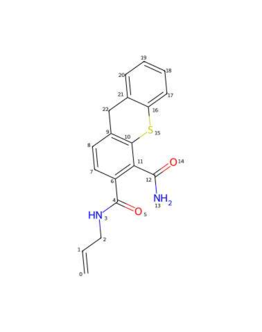 C=CCNC(=O)c1ccc2c(c1C(N)=O)Sc1ccccc1C2